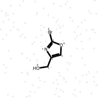 OCc1coc(Br)n1